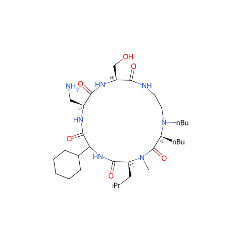 CCCC[C@H]1C(=O)N(C)[C@@H](CC(C)C)C(=O)NC(C2CCCCC2)C(=O)N[C@@H](CN)C(=O)N[C@@H](CO)C(=O)NCCN1CCCC